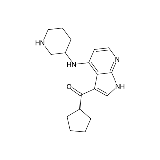 O=C(c1c[nH]c2nccc(NC3CCCNC3)c12)C1CCCC1